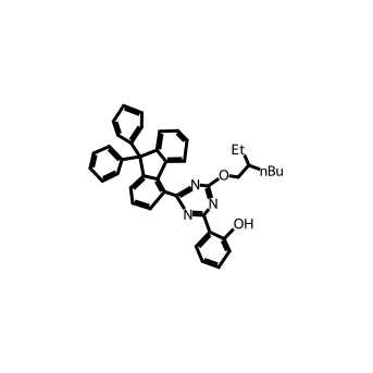 CCCCC(CC)COc1nc(-c2ccccc2O)nc(-c2cccc3c2-c2ccccc2C3(c2ccccc2)c2ccccc2)n1